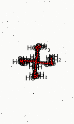 CC(=O)NC1C(O)CC(CO)OC1OCCOCCOCCNC(=O)CCOCC(COCCC(=O)NCCOCCOCCOC1OC(CO)CC(O)C1NC(C)=O)(COCCC(=O)NCCOCCOCCOC1OC(CO)C(O)C(O)C1NC(C)=O)NC(=O)CCCCCCCCCCC(=O)NCCOC1(OCCNC(=O)OCN)CCCC1